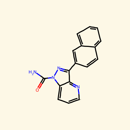 NC(=O)n1nc(-c2ccc3ccccc3c2)c2n[c]ccc21